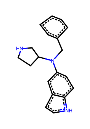 c1ccc(CN(c2ccc3[nH]ccc3c2)C2CCNC2)cc1